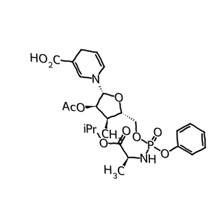 CC(=O)O[C@@H]1[C@H](C)[C@@H](COP(=O)(N[C@@H](C)C(=O)OC(C)C)Oc2ccccc2)O[C@H]1N1C=CCC(C(=O)O)=C1